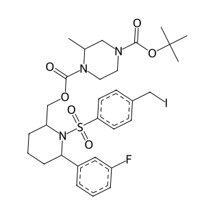 CC1CN(C(=O)OC(C)(C)C)CCN1C(=O)OCC1CCCC(c2cccc(F)c2)N1S(=O)(=O)c1ccc(CI)cc1